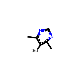 Cc1ncnc(C)c1C(C)(C)C